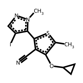 Cc1sc(-c2c(I)cnn2C)c(C#N)c1OC1CC1